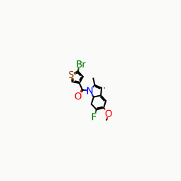 COC1=C(F)CC2C(=C1)[C]=C(C)N2C(=O)c1csc(Br)c1